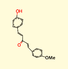 COc1ccc(C=CC(=O)C=Cc2ccc(O)cc2)cc1